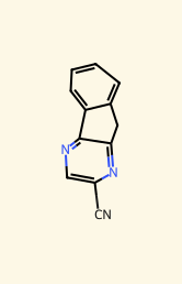 N#Cc1cnc2c(n1)Cc1ccccc1-2